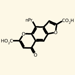 CCCc1c2cc(C(=O)O)oc2cc2c(=O)cc(C(=O)O)oc12